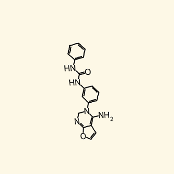 NC1=c2ccoc2=NCN1c1cccc(NC(=O)Nc2ccccc2)c1